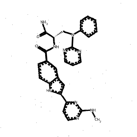 CNc1nccc(-c2cc3cc(C(=O)N[C@@H](CN(c4ccccc4)c4ncccn4)C(N)=O)ccc3[nH]2)n1